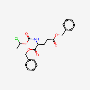 CC(Cl)OC(=O)N[C@@H](CCC(=O)OCc1ccccc1)C(=O)OCc1ccccc1